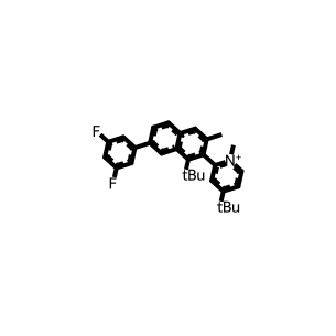 Cc1cc2ccc(-c3cc(F)cc(F)c3)cc2c(C(C)(C)C)c1-c1cc(C(C)(C)C)cc[n+]1C